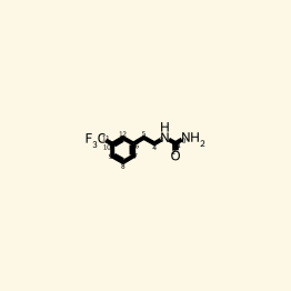 NC(=O)NCCc1cccc(C(F)(F)F)c1